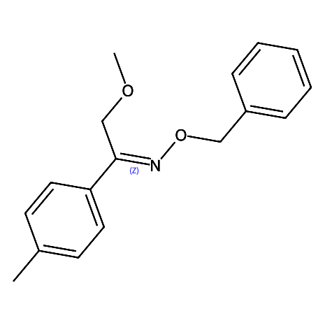 COC/C(=N\OCc1ccccc1)c1ccc(C)cc1